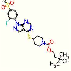 CC(C)(C)CCOC(=O)N1CCC(Sc2ncnc3c2cnn3-c2ccc(S(C)(=O)=O)cc2F)CC1